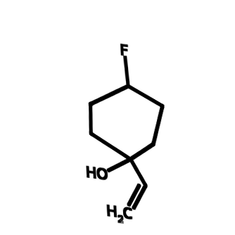 C=CC1(O)CCC(F)CC1